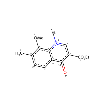 CCOC(=O)c1cn(CC)c2c(OC)c(C)ccc2c1=O